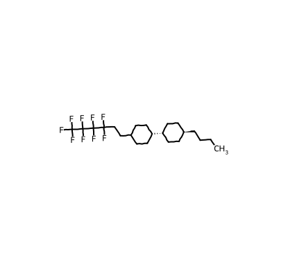 CCCC[C@H]1CC[C@H](C2CCC(CCC(F)(F)C(F)(F)C(F)(F)C(F)(F)F)CC2)CC1